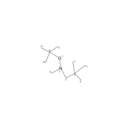 CN(CC(C)(C)C)OC(C)(C)C